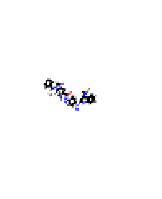 CN(C)c1cc(NC2CCC(NC(=O)[C@H](Cc3cn(Cc4ccccc4)cn3)NC(=O)O)CC2)nc2ccccc12